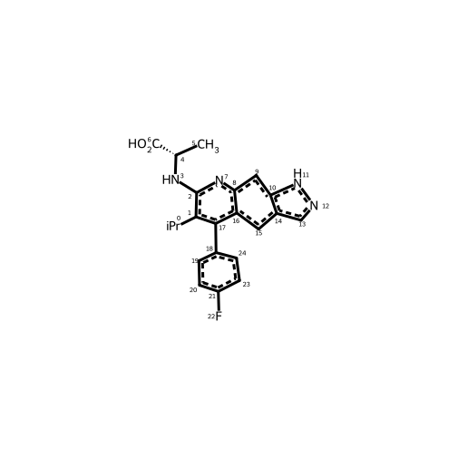 CC(C)c1c(N[C@@H](C)C(=O)O)nc2cc3[nH]ncc3cc2c1-c1ccc(F)cc1